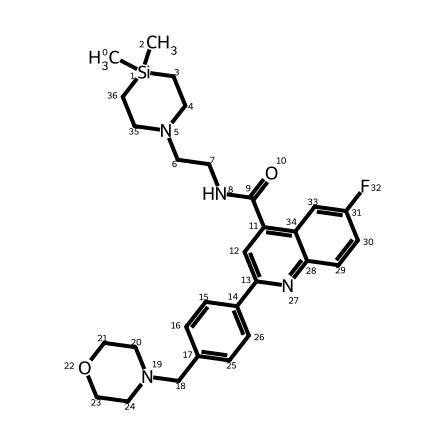 C[Si]1(C)CCN(CCNC(=O)c2cc(-c3ccc(CN4CCOCC4)cc3)nc3ccc(F)cc23)CC1